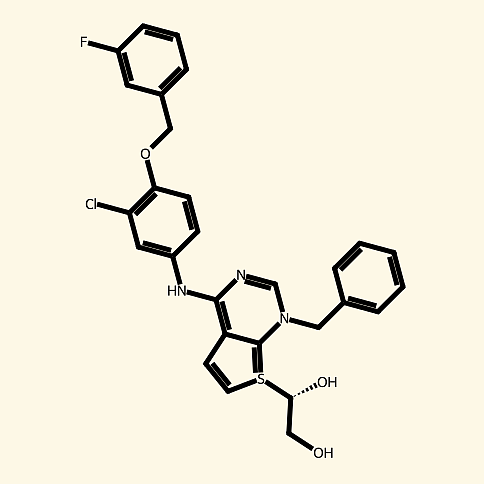 OC[C@@H](O)S1=C2C(=C(Nc3ccc(OCc4cccc(F)c4)c(Cl)c3)N=CN2Cc2ccccc2)C=C1